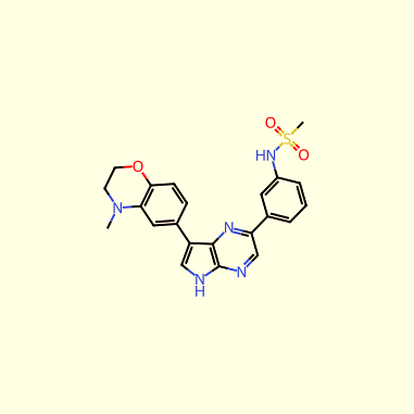 CN1CCOc2ccc(-c3c[nH]c4ncc(-c5cccc(NS(C)(=O)=O)c5)nc34)cc21